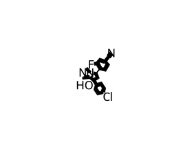 N#Cc1ccc([C@H]2C[C@](O)(c3ccc(Cl)cc3)c3cncn32)c(F)c1